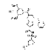 COc1cc(C(=O)N(CCCc2ccccc2)Cc2nc(C(=O)NS(=O)(=O)c3cn(C)cn3)cs2)cc(OC)c1C